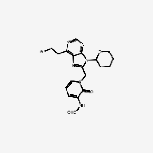 CC(C)CCc1ncnc2c1nc(Cn1cccc(NC=O)c1=O)n2C1CCCCO1